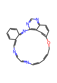 C1=C\COc2ccc3ncnc(c3c2)/N=c2/cccc/c2=C/N=C\C=N\C=C/1